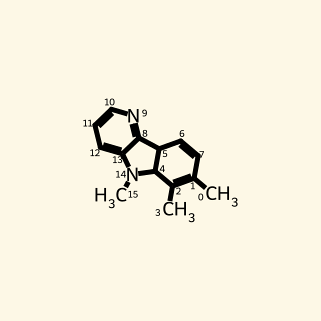 CC1=C(C)C2C(C=C1)c1ncccc1N2C